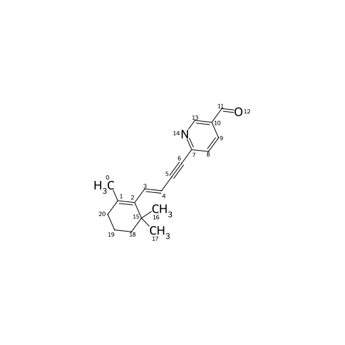 CC1=C(C=CC#Cc2ccc(C=O)cn2)C(C)(C)CCC1